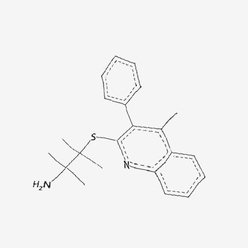 Cc1c(-c2ccccc2)c(SC(C)(C)C(C)(C)N)nc2ccccc12